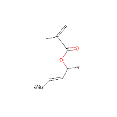 C=C(C)C(=O)OC(C=CCCCCCC)C(C)C